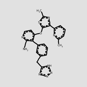 Cc1cccc(-c2nc(C)sc2Oc2ccnc(N)c2-c2cccc(Cc3nnn[nH]3)c2)n1